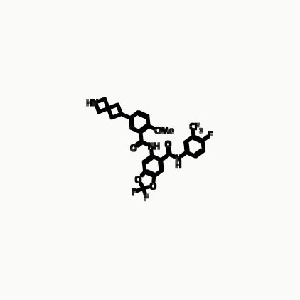 COc1ccc(C2CC3(CNC3)C2)cc1C(=O)Nc1cc2c(cc1C(=O)Nc1ccc(F)c(C(F)(F)F)c1)OC(F)(F)O2